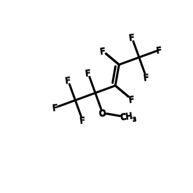 COC(F)(C(F)=C(F)C(F)(F)F)C(F)(F)F